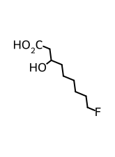 O=C(O)CC(O)CCCCCCF